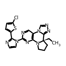 CC[C@@]12CCCN1c1nc(-n3ccnc3-c3ccc(Cl)s3)ncc1-n1cnnc12